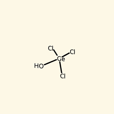 [OH][Ge]([Cl])([Cl])[Cl]